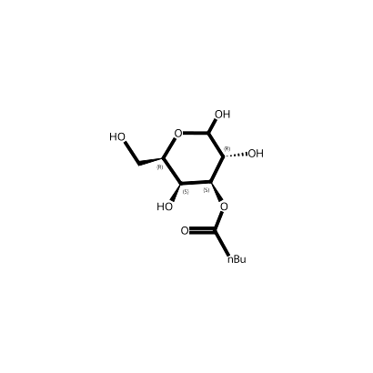 CCCCC(=O)O[C@H]1[C@@H](O)[C@@H](CO)OC(O)[C@@H]1O